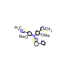 COc1cc(N(c2ccc(-c3cnc(C)s3)c(OC)c2)c2nc3c(s2)CCCC3c2ccccc2)ccc1-c1cnc(C)s1